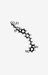 CCOC(=O)CCCNC(=O)c1cc2cc(N3CCN(CCCCc4c[nH]c5ccc(C#N)cc45)CC3)ccc2o1